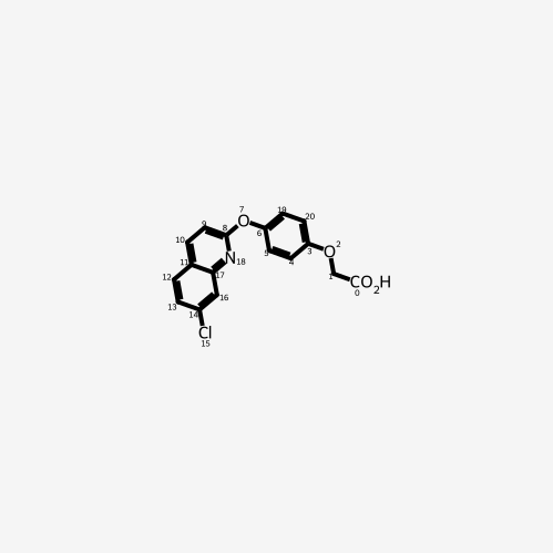 O=C(O)COc1ccc(Oc2ccc3ccc(Cl)cc3n2)cc1